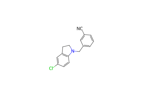 N#Cc1cccc(CN2CCc3cc(Cl)ccc32)c1